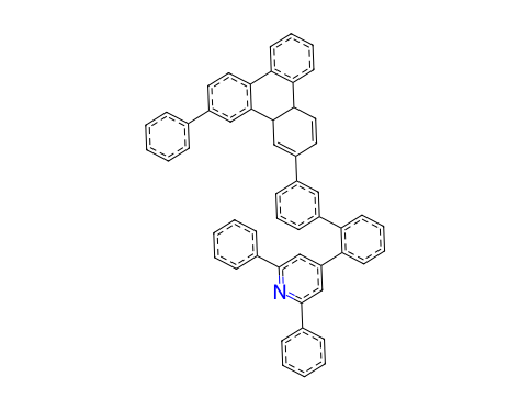 C1=CC2c3ccccc3-c3ccc(-c4ccccc4)cc3C2C=C1c1cccc(-c2ccccc2-c2cc(-c3ccccc3)nc(-c3ccccc3)c2)c1